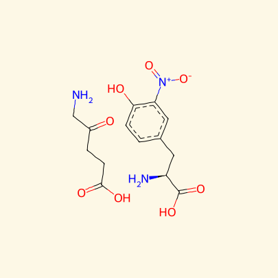 NCC(=O)CCC(=O)O.N[C@@H](Cc1ccc(O)c([N+](=O)[O-])c1)C(=O)O